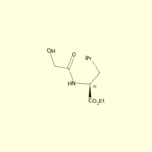 CCOC(=O)[C@H](CC(C)C)NC(=O)CO